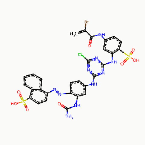 C=C(Br)C(=O)Nc1ccc(S(=O)(=O)O)c(Nc2nc(Cl)nc(Nc3ccc(N=Nc4ccc(S(=O)(=O)O)c5ccccc45)c(NC(N)=O)c3)n2)c1